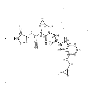 N#C[C@H](C[C@@H]1CCNC1=O)NC(=O)[C@H](CC1CC1)NC(=O)c1nc2c(OCC3CC3)cccc2[nH]1